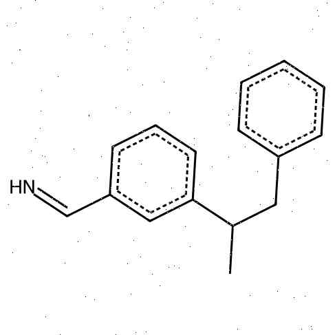 CC(Cc1ccccc1)c1cccc(C=N)c1